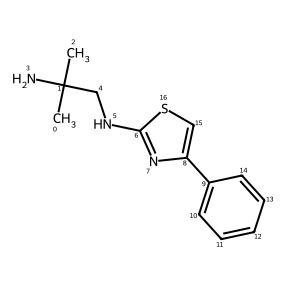 CC(C)(N)CNc1nc(-c2ccccc2)cs1